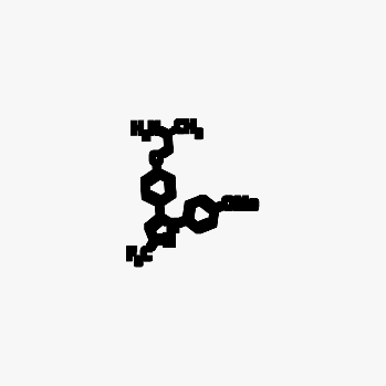 COc1ccc(-n2nc(C(F)(F)F)cc2-c2ccc(OC[C@@H](C)N)cc2)cc1